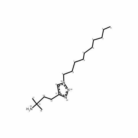 CCCCCCCCCCn1cc(CCC(C)(C)N)nn1